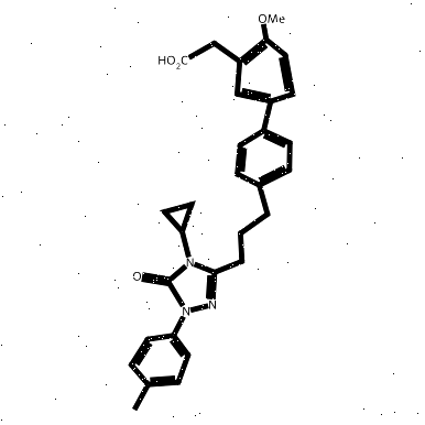 COc1ccc(-c2ccc(CCCc3nn(-c4ccc(C)cc4)c(=O)n3C3CC3)cc2)cc1CC(=O)O